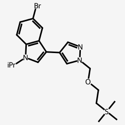 CC(C)n1cc(-c2cnn(COCCS(C)(C)C)c2)c2cc(Br)ccc21